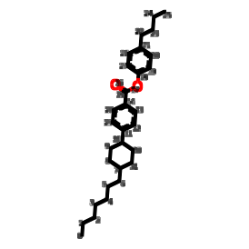 CCCCCCCC1CCC(c2ccc(C(=O)Oc3ccc(CCCC)cc3)cc2)CC1